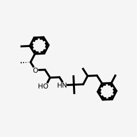 Cc1ccccc1CC(C)CC(C)(C)NCC(O)CO[C@H](C)c1ccccc1C